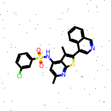 Cc1cc(NS(=O)(=O)c2cccc(Cl)c2)c2c(C)c(-c3cncc4ccccc34)sc2n1